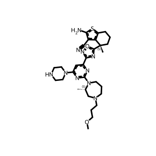 COCCCN1CCCN(c2nc(-c3noc([C@@]4(C)CCCc5sc(N)c(C#N)c54)n3)cc(N3CCNCC3)n2)[C@@H](C)C1